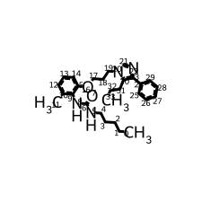 CCCCCNC(=O)Nc1c(C)cccc1OCCCn1cnc(-c2ccccc2)c1CCC